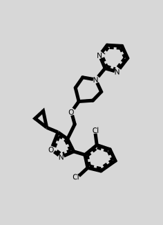 Clc1cccc(Cl)c1-c1noc(C2CC2)c1COC1CCN(c2ncccn2)CC1